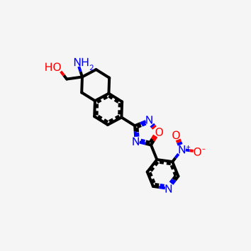 NC1(CO)CCc2cc(-c3noc(-c4ccncc4[N+](=O)[O-])n3)ccc2C1